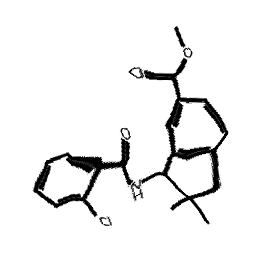 COC(=O)c1ccc2c(c1)C(NC(=O)c1ccccc1Cl)C(C)(C)C2